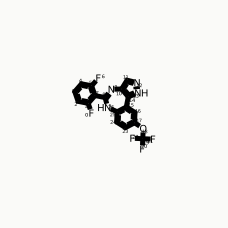 Fc1cccc(F)c1C1=Nc2cn[nH]c2-c2cc(OC(F)(F)F)ccc2N1